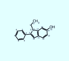 CCn1c(-c2ccccc2)cc2ccc(O)cc21